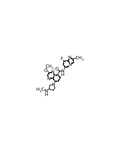 CNC1CCN(c2ccc(C(=O)Nc3cc(F)c4nc(C)cn4c3)c3nc(OC)cnc23)C1